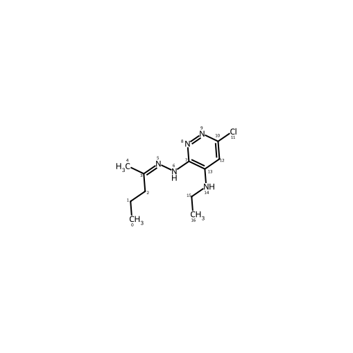 CCCC(C)=NNc1nnc(Cl)cc1NCC